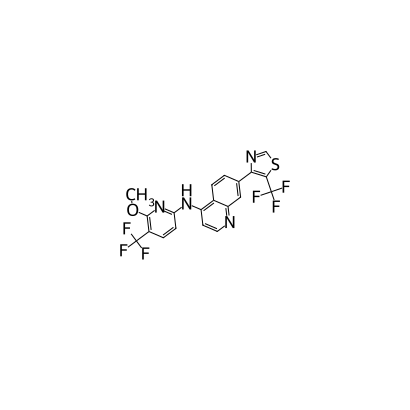 COc1nc(Nc2ccnc3cc(-c4ncsc4C(F)(F)F)ccc23)ccc1C(F)(F)F